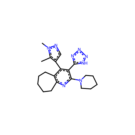 Cc1c(-c2c3c(nc(N4CCCCC4)c2-c2nnn[nH]2)CCCCC3)cnn1C